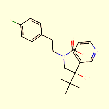 CC(C)(C)[C@](O)(CN(CCc1ccc(Br)cc1)C(=O)O)c1cccnc1